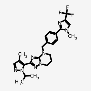 Cc1cnn(C(C)C)c1-c1nc2n(n1)CCCN2Cc1ccc(-c2nc(C(F)(F)F)cn2C)cc1